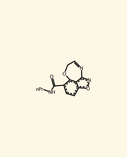 CCCNC(=O)c1ccc2onc3c2c1OCC=N3